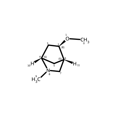 CO[C@@H]1C[C@@H]2C[C@H]1CN2C